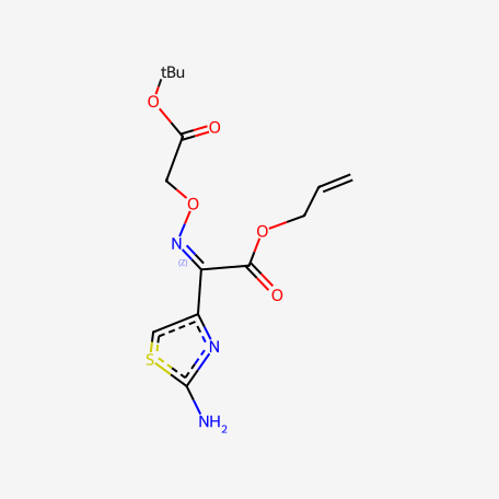 C=CCOC(=O)/C(=N\OCC(=O)OC(C)(C)C)c1csc(N)n1